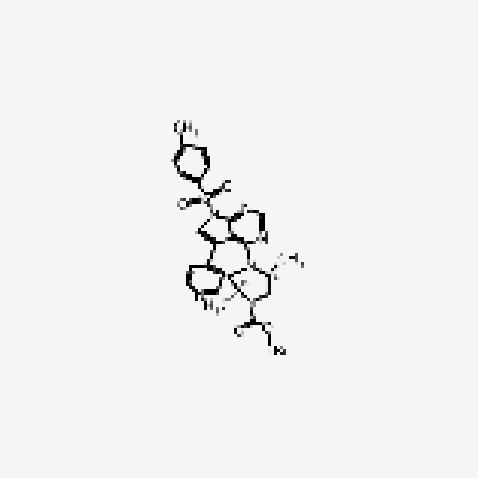 Cc1ccc(S(=O)(=O)n2cc(-c3ccncc3)c3c(N4C[C@@H](C)N(C(=O)OC(C)(C)C)C[C@@H]4C)ncnc32)cc1